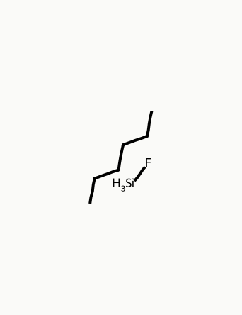 CCCCCC.F[SiH3]